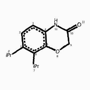 CC(C)c1ccc2c(c1C(C)C)OCC(=O)N2